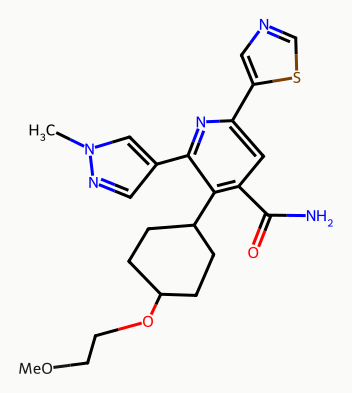 COCCOC1CCC(c2c(C(N)=O)cc(-c3cncs3)nc2-c2cnn(C)c2)CC1